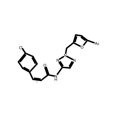 CC(=O)c1ccc(Cn2ncc(NC(=O)/C=C\c3ccc(Cl)cc3)n2)o1